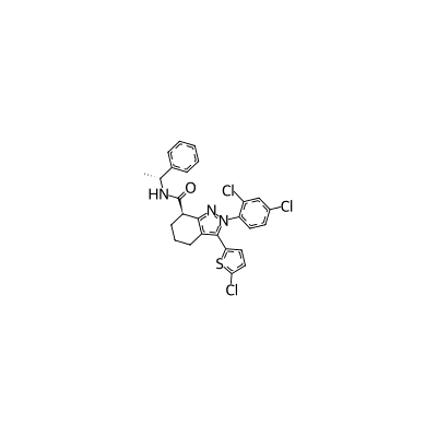 C[C@@H](NC(=O)[C@@H]1CCCc2c1nn(-c1ccc(Cl)cc1Cl)c2-c1ccc(Cl)s1)c1ccccc1